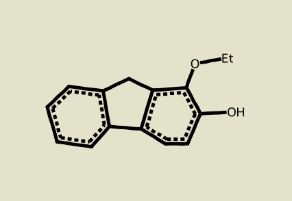 CCOc1c(O)ccc2c1Cc1ccccc1-2